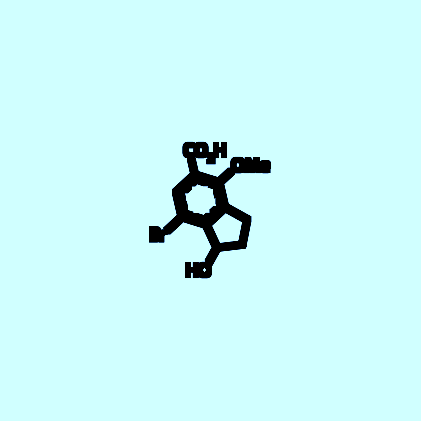 COc1c(C(=O)O)cc(Br)c2c1CCC2O